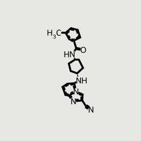 Cc1cccc(C(=O)N[C@H]2CC[C@@H](Nc3cccc4nc(C#N)cn34)CC2)c1